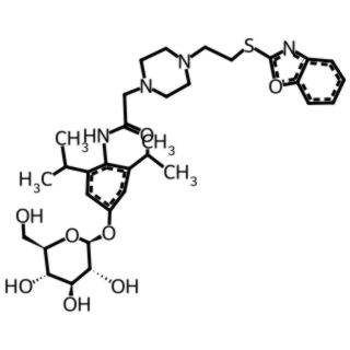 CC(C)c1cc(O[C@@H]2O[C@H](CO)[C@@H](O)[C@H](O)[C@H]2O)cc(C(C)C)c1NC(=O)CN1CCN(CCSc2nc3ccccc3o2)CC1